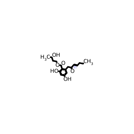 CCC/C=C/C(=O)Cc1cc(O)cc(O)c1C(=O)OCCC(C)O